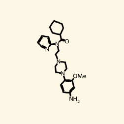 COc1cc(N)ccc1N1CCN(CCN(C(=O)C2CCCCC2)c2ccccn2)CC1